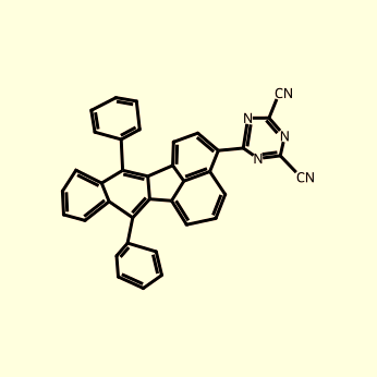 N#Cc1nc(C#N)nc(-c2ccc3c4c(cccc24)-c2c-3c(-c3ccccc3)c3ccccc3c2-c2ccccc2)n1